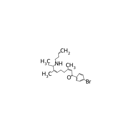 C=CCCNC(CC)C(C)=CCCC(C)=CC(=O)c1ccc(Br)cc1